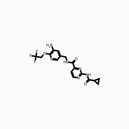 Bc1cc(CNC(=O)c2ccnc(NC(=O)C3CC3)n2)cnc1OCC(F)(F)F